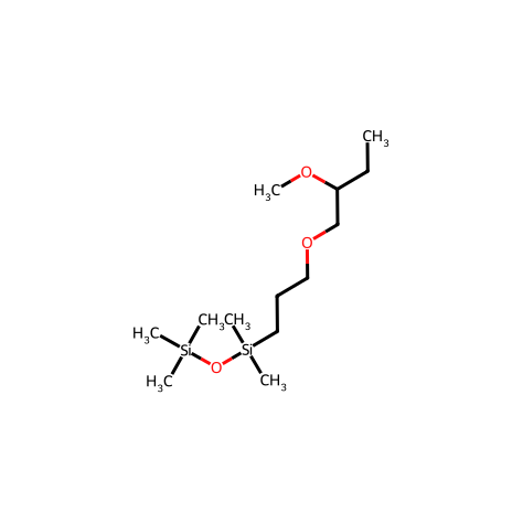 CCC(COCCC[Si](C)(C)O[Si](C)(C)C)OC